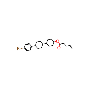 C=CCCC(=O)OC1CCC(C2CCC(c3ccc(Br)cc3)CC2)CC1